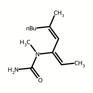 C/C=C(\C=C(\C)CCCC)N(C)C(N)=O